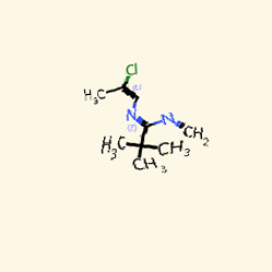 C=N/C(=N\C=C(/C)Cl)C(C)(C)C